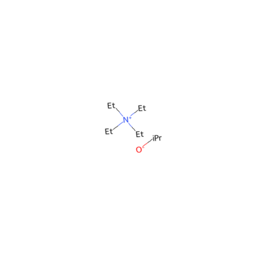 CC(C)[O-].CC[N+](CC)(CC)CC